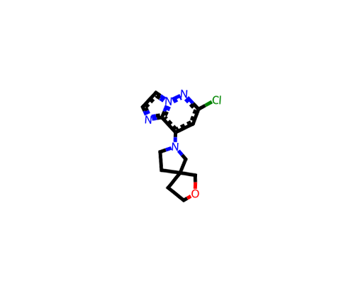 Clc1cc(N2CCC3(CCOC3)C2)c2nccn2n1